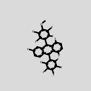 COc1c(F)c(F)c(-c2c3cc(F)ccc3c(-c3c(F)c(F)c(F)c(F)c3F)c3c(F)ccc(F)c23)c(F)c1F